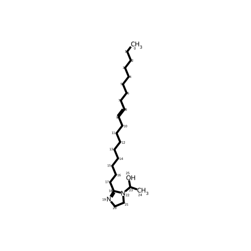 CCCCCCCCC=CCCCCCCCCC1=NCCN1C(C)O